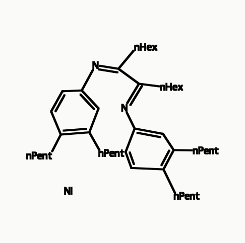 CCCCCCC(=Nc1ccc(CCCCC)c(CCCCC)c1)C(CCCCCC)=Nc1ccc(CCCCC)c(CCCCC)c1.[Ni]